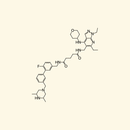 CCc1nc2c(cnn2CC)c(NC2CCOCC2)c1CNC(=O)CCCC(=O)NCc1ccc(F)c(-c2cccc(CN3CC(C)NC(C)C3)c2)c1